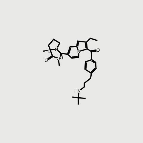 CCc1cc2cc(C(=O)N3CCC[C@@]3(C)C(=O)OC)ccn2c1C(=O)c1ccc(CCCNC(C)(C)C)cc1